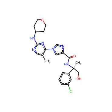 Cc1cnc(NC2CCOCC2)nc1-n1cnc(C(=O)N[C@@](C)(CO)c2cccc(Cl)c2)c1